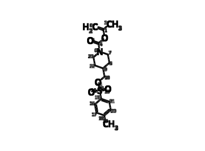 C=C(C)OC(=O)N1CCC(COS(=O)(=O)c2ccc(C)cc2)CC1